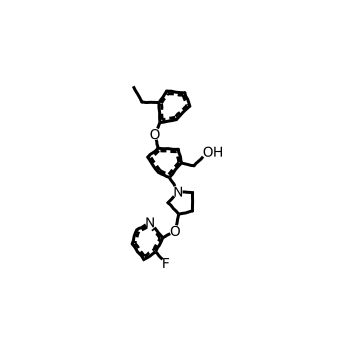 CCc1ccccc1Oc1ccc(N2CCC(Oc3ncccc3F)C2)c(CO)c1